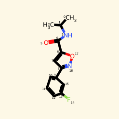 CC(C)NC(=O)c1cc(-c2cccc(F)c2)no1